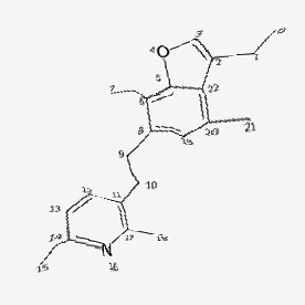 CCc1coc2c(C)c(CCc3ccc(C)nc3C)cc(C)c12